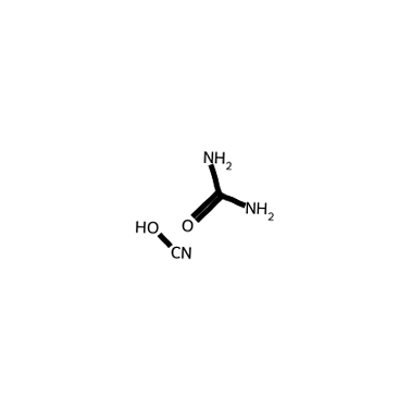 N#CO.NC(N)=O